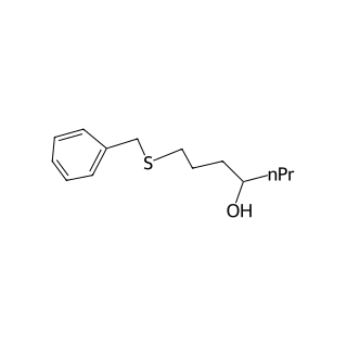 CCCC(O)CCCSCc1ccccc1